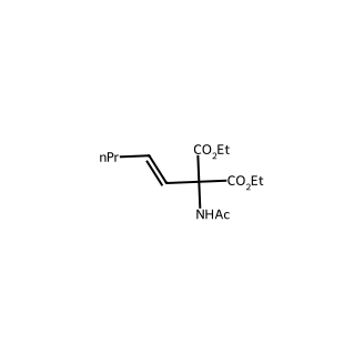 CCCC=CC(NC(C)=O)(C(=O)OCC)C(=O)OCC